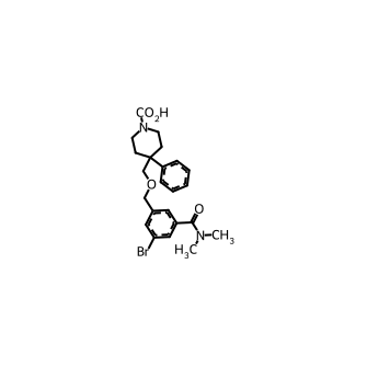 CN(C)C(=O)c1cc(Br)cc(COCC2(c3ccccc3)CCN(C(=O)O)CC2)c1